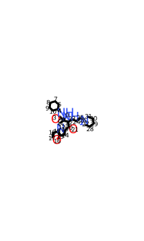 NC1(C(=O)NC2CCCCC2)Cn2c(cc3occc32)C(=O)C1CCCN1CCCCC1